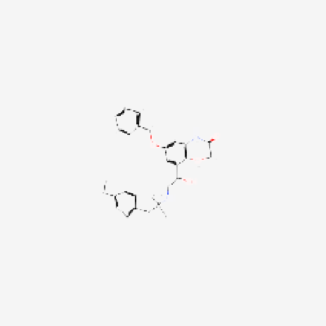 CCc1ccc(CC(C)(C)NCC(O)c2cc(OCc3ccccc3)cc3c2OCC(=O)N3)cc1